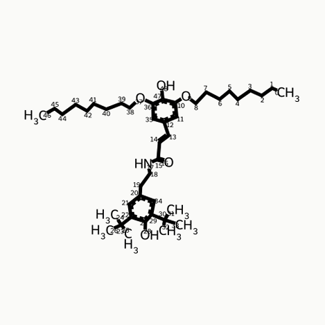 CCCCCCCCCOc1cc(C=CC(=O)NCCc2cc(C(C)(C)C)c(O)c(C(C)(C)C)c2)cc(OCCCCCCCCC)c1O